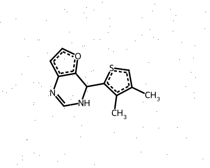 Cc1csc(C2NC=Nc3ccoc32)c1C